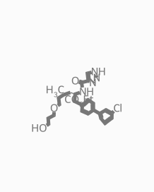 CCOC(=O)C(C)(CCOCCCO)C[C@@H](Cc1ccc(-c2cccc(Cl)c2)cc1)NC(=O)c1c[nH]nn1